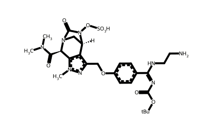 CN(C)C(=O)[C@@H]1c2c(c(COc3ccc(/C(=N\C(=O)OC(C)(C)C)NCCN)cc3)nn2C)[C@H]2CN1C(=O)N2OS(=O)(=O)O